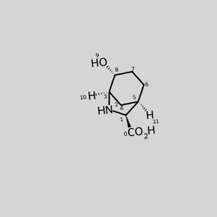 O=C(O)[C@H]1N[C@@H]2C[C@H]1CC[C@H]2O